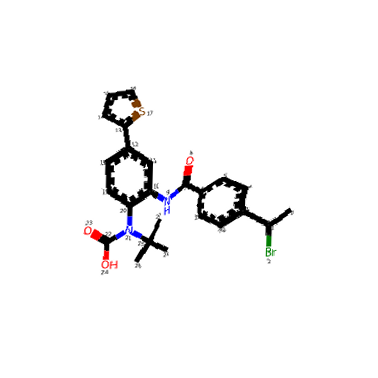 CC(Br)c1ccc(C(=O)Nc2cc(-c3cccs3)ccc2N(C(=O)O)C(C)(C)C)cc1